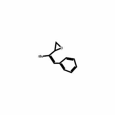 CC(C)(C)C(=Cc1ccccc1)C1CO1